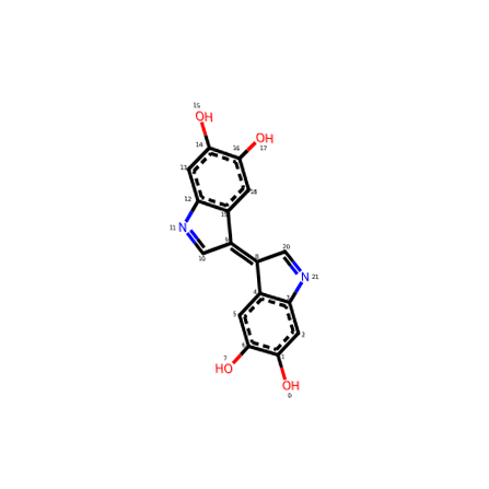 Oc1cc2c(cc1O)C(=C1C=Nc3cc(O)c(O)cc31)C=N2